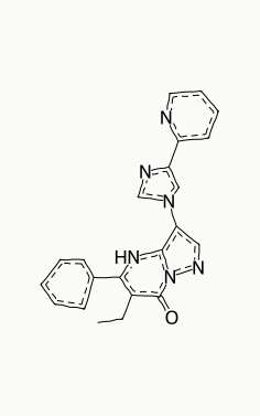 CCc1c(-c2ccccc2)[nH]c2c(-n3cnc(-c4ccccn4)c3)cnn2c1=O